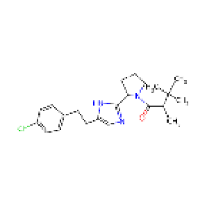 CC(C(=O)N1CCCC1c1ncc(CCc2ccc(Cl)cc2)[nH]1)C(C)(C)C